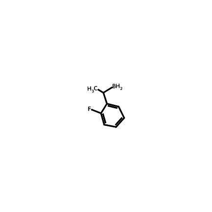 BC(C)c1ccccc1F